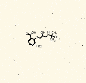 CC(C)(C)NCC(O)COc1ccccc1C(=O)O.Cl